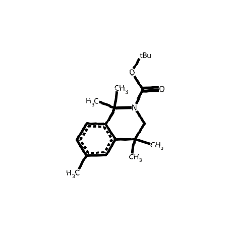 Cc1ccc2c(c1)C(C)(C)CN(C(=O)OC(C)(C)C)C2(C)C